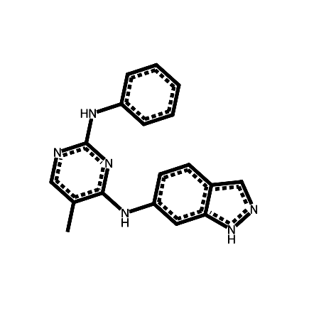 Cc1cnc(Nc2ccccc2)nc1Nc1ccc2cn[nH]c2c1